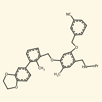 CCCNCc1cc(C)c(OCc2cccc(-c3ccc4c(c3)OCCO4)c2C)cc1OCc1cccc(C#N)c1